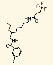 CCCC(CCCCCNC(=O)CCC(F)(F)F)CNC(=O)c1cccc(Cl)c1